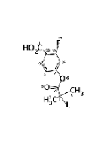 CC(C)(I)C(=O)Oc1ccc(C(=O)O)c(F)c1